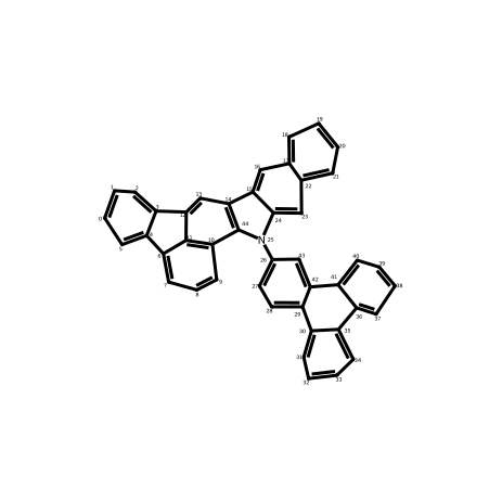 c1ccc2c(c1)-c1cccc3c1c-2cc1c2cc4ccccc4cc2n(-c2ccc4c5ccccc5c5ccccc5c4c2)c31